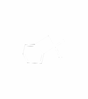 O=S1(=O)[CH]c2ccccc21